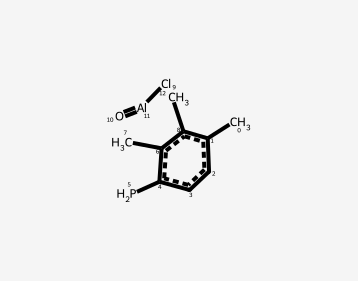 Cc1ccc(P)c(C)c1C.[O]=[Al][Cl]